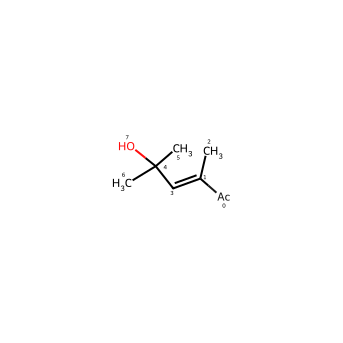 CC(=O)C(C)=CC(C)(C)O